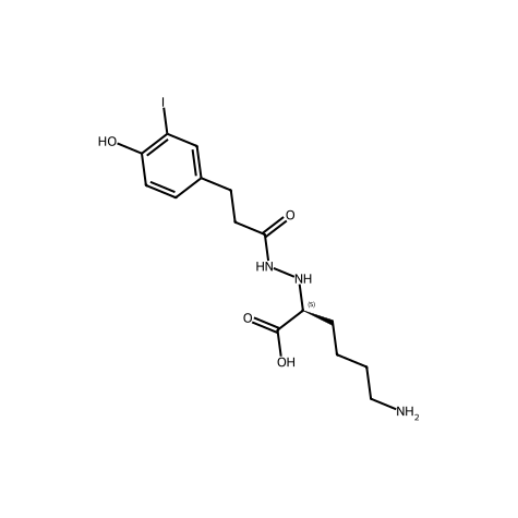 NCCCC[C@H](NNC(=O)CCc1ccc(O)c(I)c1)C(=O)O